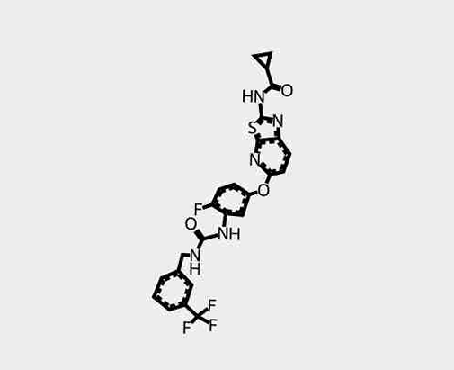 O=C(NCc1cccc(C(F)(F)F)c1)Nc1cc(Oc2ccc3nc(NC(=O)C4CC4)sc3n2)ccc1F